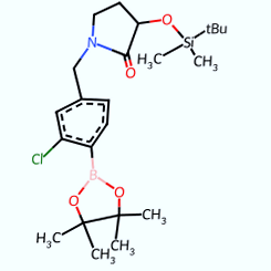 CC1(C)OB(c2ccc(CN3CCC(O[Si](C)(C)C(C)(C)C)C3=O)cc2Cl)OC1(C)C